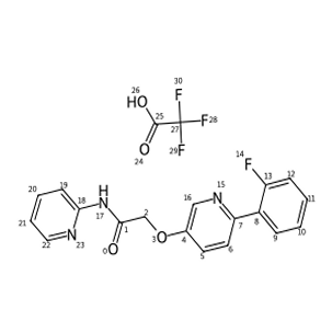 O=C(COc1ccc(-c2ccccc2F)nc1)Nc1ccccn1.O=C(O)C(F)(F)F